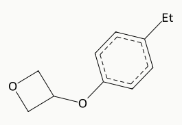 CCc1ccc(OC2COC2)cc1